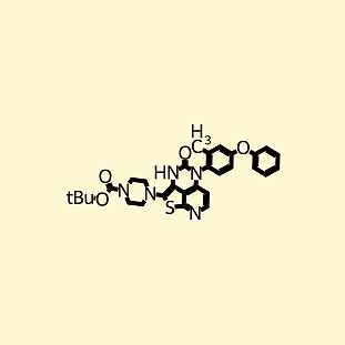 Cc1cc(Oc2ccccc2)ccc1N1C(=O)Nc2c(N3CCN(C(=O)OC(C)(C)C)CC3)sc3nccc1c23